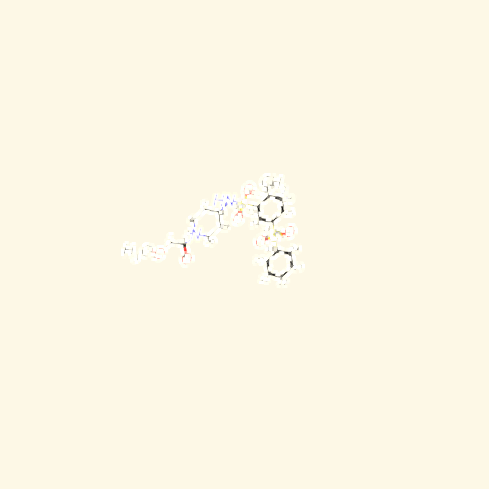 COCC(=O)N1CCC(NS(=O)(=O)c2cc(S(=O)(=O)c3ccccc3)ccc2C)CC1